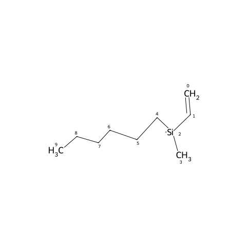 C=C[Si](C)CCCCCC